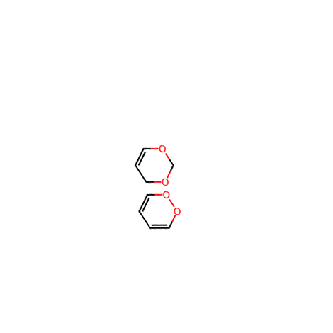 C1=COCOC1.C1=COOC=C1